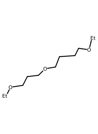 CCOCCCCOCCCOCC